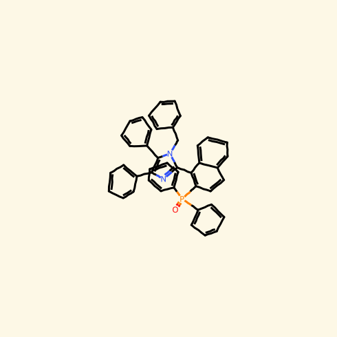 O=P(c1ccccc1)(c1ccccc1)c1ccc2ccccc2c1-c1nc(-c2ccccc2)c(-c2ccccc2)n1Cc1ccccc1